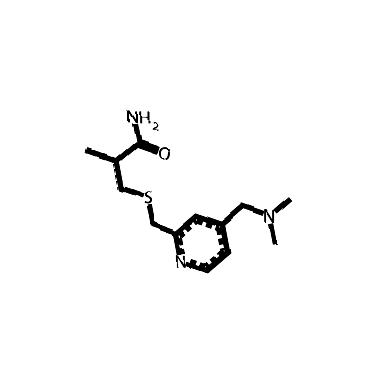 CC(CSCc1cc(CN(C)C)ccn1)C(N)=O